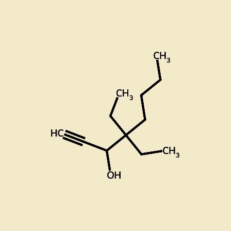 C#CC(O)C(CC)(CC)CCCC